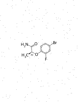 C[C@H](Oc1ccc(Br)cc1F)C(N)=O